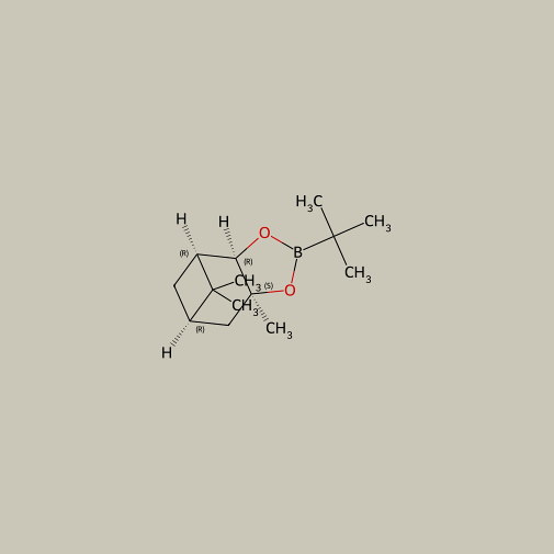 CC(C)(C)B1O[C@@H]2[C@@H]3C[C@H](C[C@]2(C)O1)C3(C)C